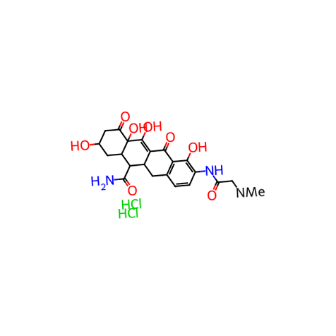 CNCC(=O)Nc1ccc2c(c1O)C(=O)C1=C(O)C3(O)C(=O)CC(O)CC3C(C(N)=O)C1C2.Cl.Cl